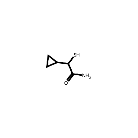 NC(=O)C(S)C1CC1